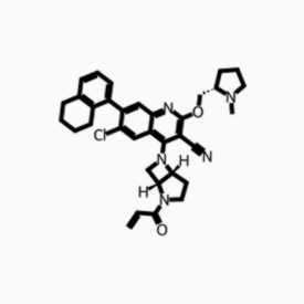 C=CC(=O)N1CC[C@@H]2[C@H]1CN2c1c(C#N)c(OC[C@@H]2CCCN2C)nc2cc(-c3cccc4c3CCCC4)c(Cl)cc12